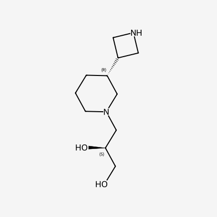 OC[C@@H](O)CN1CCC[C@H](C2CNC2)C1